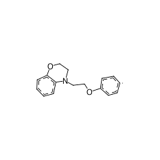 [c]1ccc(OCCN2CCOc3ccccc32)cc1